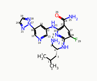 CC(C)C[C@H](CN)Nc1nc(Nc2cncc(-n3nccn3)c2)c(C(N)=O)cc1F